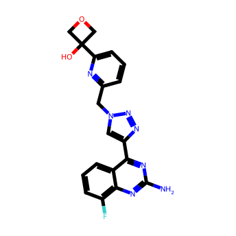 Nc1nc(-c2cn(Cc3cccc(C4(O)COC4)n3)nn2)c2cccc(F)c2n1